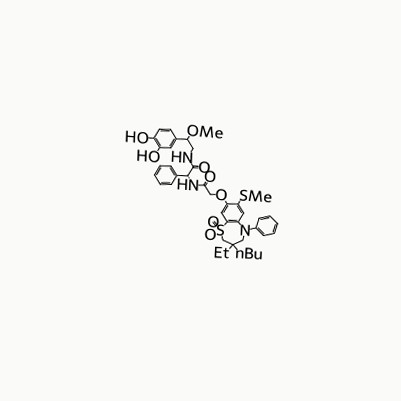 CCCCC1(CC)CN(c2ccccc2)c2cc(SC)c(OCC(=O)N[C@@H](C(=O)NCC(OC)c3ccc(O)c(O)c3)c3ccccc3)cc2S(=O)(=O)C1